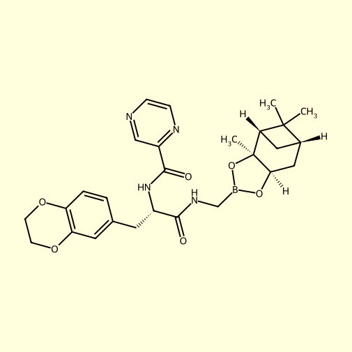 CC1(C)[C@@H]2C[C@H]3OB(CNC(=O)[C@H](Cc4ccc5c(c4)OCCO5)NC(=O)c4cnccn4)O[C@@]3(C)[C@H]1C2